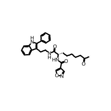 CC(=O)CCCCC[C@H](NC(=O)c1cnoc1)C(=O)NCCc1c(-c2ccccc2)[nH]c2ccccc12